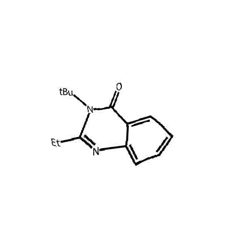 CCc1nc2ccccc2c(=O)n1C(C)(C)C